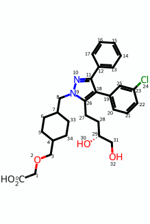 O=C(O)COCC1CCC(Cn2nc(-c3ccccc3)c(-c3cccc(Cl)c3)c2CC[C@@H](O)CO)CC1